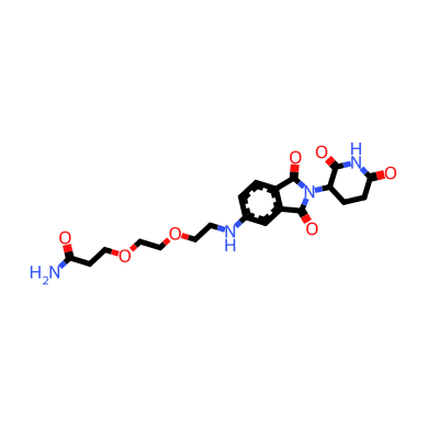 NC(=O)CCOCCOCCNc1ccc2c(c1)C(=O)N(C1CCC(=O)NC1=O)C2=O